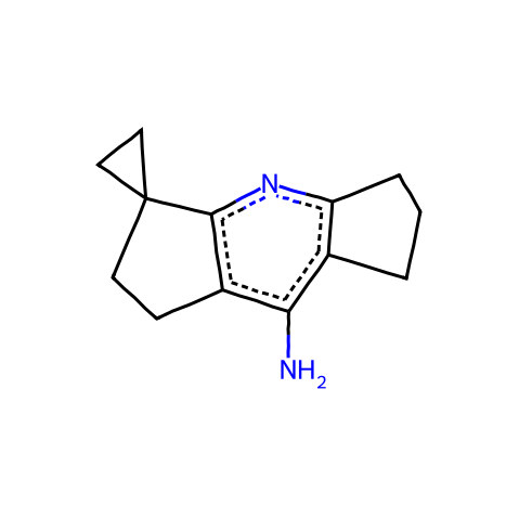 Nc1c2c(nc3c1CCC31CC1)CCC2